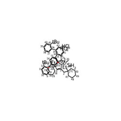 CCC1(CC2=Cc3c(-c4ccccc4C(C)(C)C)cccc3[CH]2[Zr]([CH3])([CH3])(=[SiH2])[CH]2C(CC3(CC)CCCCC3)=Cc3c(-c4ccccc4C(C)(C)C)cccc32)CCCCC1.Cl.Cl